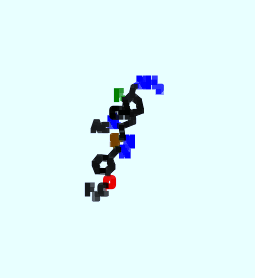 CC(=O)N(C)C(Cc1ccc(CN)c(F)c1)c1nnc(-c2cccc(OC(F)(F)F)c2)s1